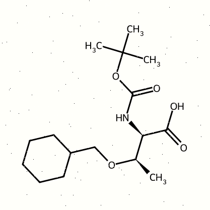 C[C@@H](OCC1CCCCC1)[C@@H](NC(=O)OC(C)(C)C)C(=O)O